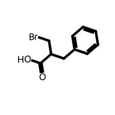 O=C(O)C(CBr)Cc1ccccc1